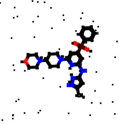 Cc1cc(Nc2cc(S(=O)(=O)c3ccccc3)cc(N3CCC(N4CCOCC4)CC3)n2)n[nH]1